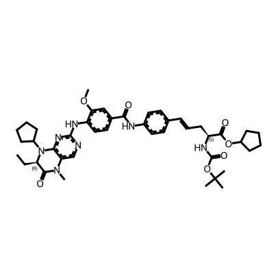 CC[C@@H]1C(=O)N(C)c2cnc(Nc3ccc(C(=O)Nc4ccc(C=CC[C@H](NC(=O)OC(C)(C)C)C(=O)OC5CCCC5)cc4)cc3OC)nc2N1C1CCCC1